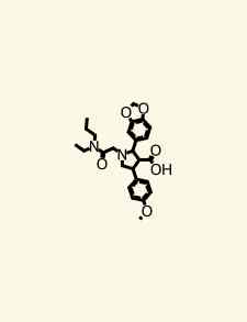 CCCN(CC)C(=O)CN1CC(c2ccc(OC)cc2)C(C(=O)O)C1c1ccc2c(c1)OCO2